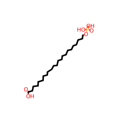 O=C(O)CCCCCCCCCCCCCCCCCCCCCCOP(=O)(O)O